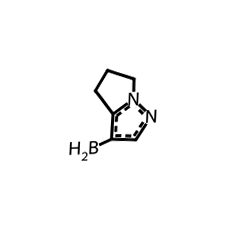 Bc1cnn2c1CCC2